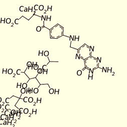 CC(O)C(=O)O.Nc1nc2ncc(CNc3ccc(C(=O)NC(CCC(=O)O)C(=O)O)cc3)nc2c(=O)[nH]1.O=C(O)C(O)C(O)C(O)C(O)CO.O=C(O)CC(O)(CC(=O)O)C(=O)O.O=C(O)O.[CaH2].[CaH2].[CaH2].[CaH2]